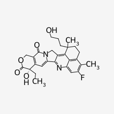 CC[C@@]1(O)C(=O)OCc2c1cc1n(c2=O)Cc2c-1nc1cc(F)c(C)c3c1c2C(C)(CCCO)CC3